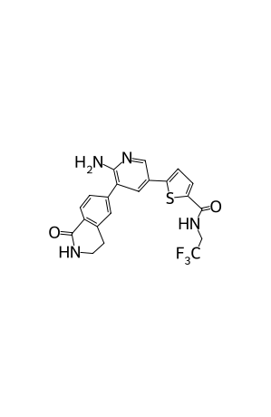 Nc1ncc(-c2ccc(C(=O)NCC(F)(F)F)s2)cc1-c1ccc2c(c1)CCNC2=O